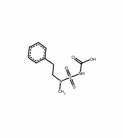 CN(CCc1ccccc1)S(=O)(=O)NC(=O)O